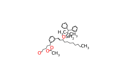 CCCCCCCCC(/C=C/c1cccc(C(CCCC=O)OC(C)=O)c1)O[SiH2]C(C)(C)C(c1ccccc1)c1ccccc1